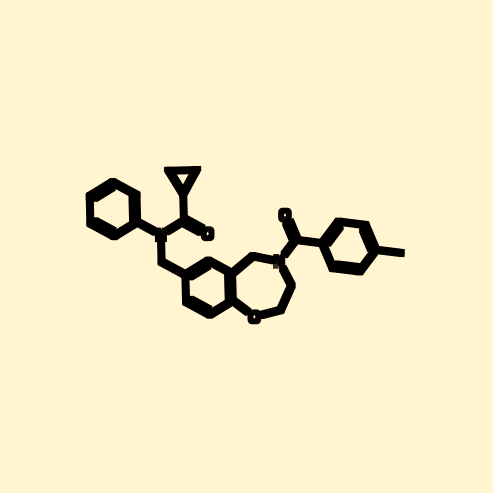 Cc1ccc(C(=O)N2CCOc3ccc(CN(C(=O)C4CC4)c4ccccc4)cc3C2)cc1